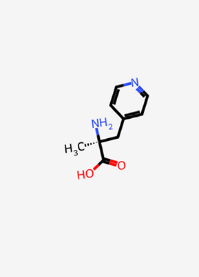 C[C@](N)(Cc1ccncc1)C(=O)O